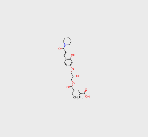 CCC(CC(C)C(=O)O)C(=O)OCC(O)COc1ccc(/C=C/C(=O)N2CCCCC2)c(O)c1